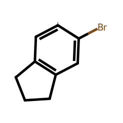 Brc1[c]cc2c(c1)CCC2